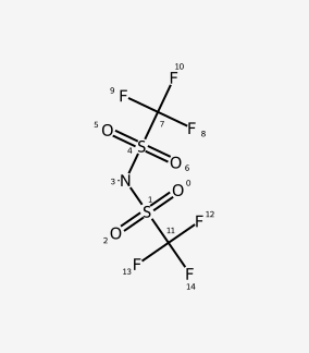 O=S(=O)([N]S(=O)(=O)C(F)(F)F)C(F)(F)F